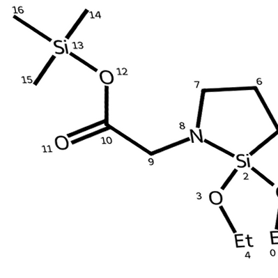 CCO[Si]1(OCC)CCCN1CC(=O)O[Si](C)(C)C